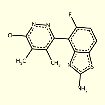 Cc1c(Cl)nnc(-c2c(F)ccc3sc(N)nc23)c1C